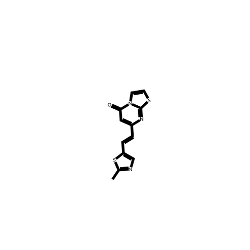 Cc1ncc(/C=C/c2cc(=O)n3ccsc3n2)s1